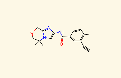 C#Cc1cc(C(=O)Nc2cn3c(n2)COCC3(C)C)ccc1C